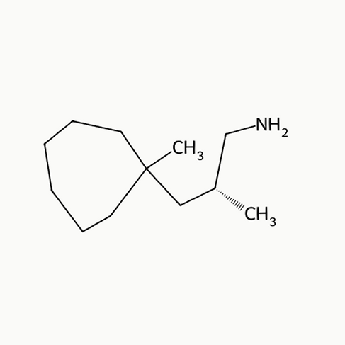 C[C@@H](CN)CC1(C)CCCCCC1